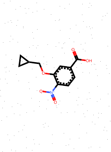 O=C(O)c1ccc([N+](=O)[O-])c(OCC2CC2)c1